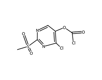 CS(=O)(=O)c1ncc(OC(=O)Cl)c(Cl)n1